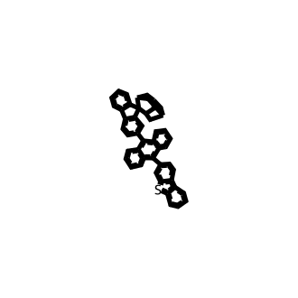 c1ccc2c(c1)-c1ccc(-c3c4ccccc4c(-c4ccc5c(c4)sc4ccccc45)c4ccccc34)cc1C21C2CC3CC(C2)CC1C3